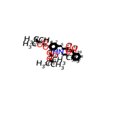 CC(CN[C@@H](Cc1ccc(OC(=O)OC(C)(C)C)c(OC(=O)OC(C)(C)C)c1)C(=O)O)OC(=O)c1ccccc1